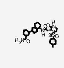 Cc1ccc(S(=O)(=O)N2CCNC(=O)[C@H]2CC(=O)NC2CCCc3cc(-c4cccc(C(N)=O)c4)ccc32)cc1